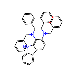 c1ccc(CN(Cc2ccccc2)c2ccc3c([nH]c4ccccc43)c2N(Cc2ccccc2)Cc2ccccc2)cc1